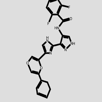 O=C(Nc1c[nH]nc1-c1nc(C2=COC=C(C3=CC=CCC3)O2)c[nH]1)c1c(F)cccc1F